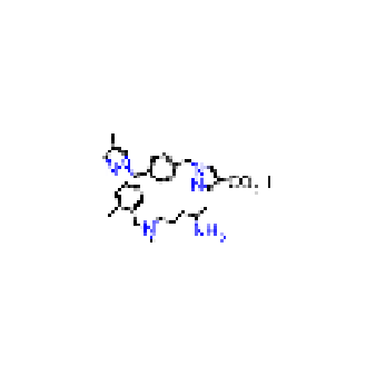 Cc1ccccc1CN(C)CCCC(C)N.Cc1cnn(Cc2ccc(Cn3cc(C(=O)O)cn3)cc2)c1